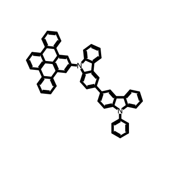 c1ccc(-n2c3ccccc3c3cc(-c4ccc5c(c4)c4ccccc4n5-c4cc5c6ccccc6c6cccc7c8ccccc8c(c4)c5c67)ccc32)cc1